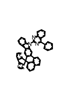 c1ccc(-c2nc(-n3c4ccccc4c4cc5c(cc43)-c3cccc4cccc(c34)C53c4ccccc4-c4ccccc43)nc3ccccc23)cc1